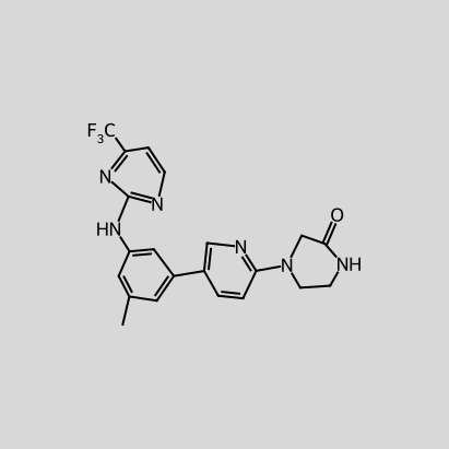 Cc1cc(Nc2nccc(C(F)(F)F)n2)cc(-c2ccc(N3CCNC(=O)C3)nc2)c1